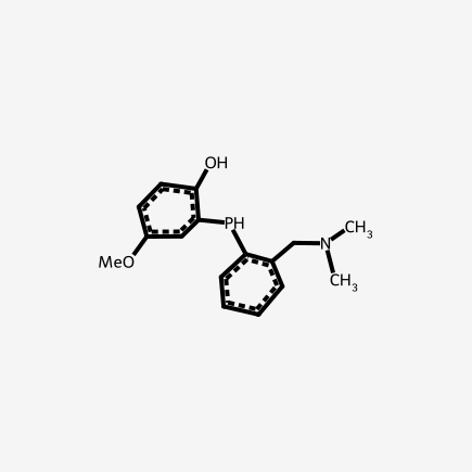 COc1ccc(O)c(Pc2ccccc2CN(C)C)c1